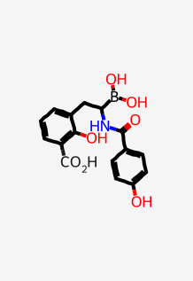 O=C(NC(Cc1cccc(C(=O)O)c1O)B(O)O)c1ccc(O)cc1